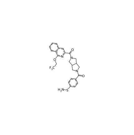 NSc1ccc(C(=O)N2CC3CN(C(=O)c4cc5ccccc5c(OCC(F)(F)F)n4)CC3C2)cc1